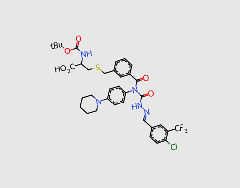 CC(C)(C)OC(=O)NC(CSCc1cccc(C(=O)N(C(=O)NN=Cc2ccc(Cl)c(C(F)(F)F)c2)c2ccc(N3CCCCC3)cc2)c1)C(=O)O